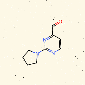 O=Cc1ccnc(N2CCCC2)n1